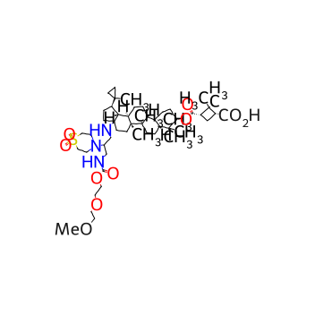 COCCOCCOC(=O)NCC(CN[C@]12CC[C@@H](C3(C)CC3)[C@@H]1[C@H]1CC[C@@H]3[C@@]4(C)CC[C@H](OC(=O)[C@H]5C[C@@H](C(=O)O)C5(C)C)C(C)(C)[C@@H]4CC[C@@]3(C)[C@]1(C)CC2)N1CCS(=O)(=O)CC1